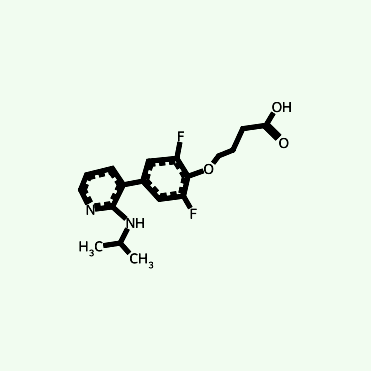 CC(C)Nc1ncccc1-c1cc(F)c(OCCCC(=O)O)c(F)c1